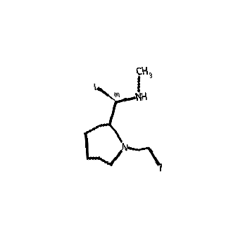 CN[C@H](I)C1CCCN1CI